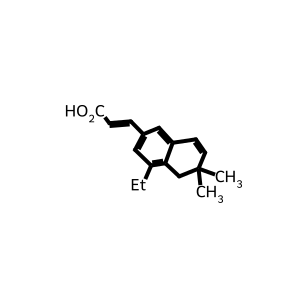 CCc1cc(/C=C/C(=O)O)cc2c1CC(C)(C)C=C2